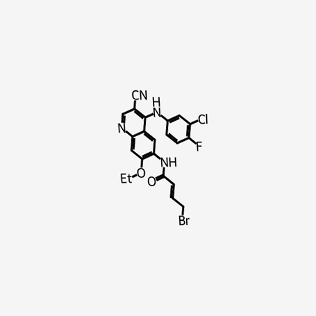 CCOc1cc2ncc(C#N)c(Nc3ccc(F)c(Cl)c3)c2cc1NC(=O)/C=C/CBr